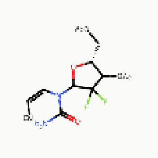 CC(=O)OC[C@H]1OC(N(/C=C\C#N)C(N)=O)C(F)(F)C1OC(C)=O